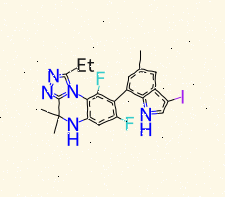 CCc1nnc2n1-c1c(cc(F)c(-c3cc(C)cc4c(I)c[nH]c34)c1F)NC2(C)C